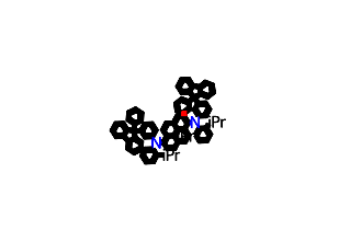 CC(C)c1ccccc1N(c1cccc(C2(c3ccccc3)c3ccccc3-c3ccccc32)c1)c1ccc2ccc3c(N(c4cccc(C5(c6ccccc6)c6ccccc6-c6ccccc65)c4)c4c(C(C)C)cccc4C(C)C)ccc4ccc1c2c43